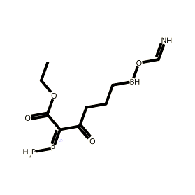 CCOC(=O)/C(=P\P)C(=O)CCCBOC=N